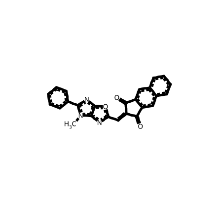 Cn1c(-c2ccccc2)nc2oc(C=C3C(=O)c4cc5ccccc5cc4C3=O)nc21